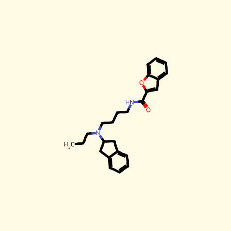 CCCN(CCCCNC(=O)c1cc2ccccc2o1)C1Cc2ccccc2C1